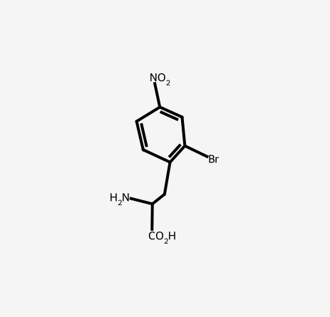 NC(Cc1ccc([N+](=O)[O-])cc1Br)C(=O)O